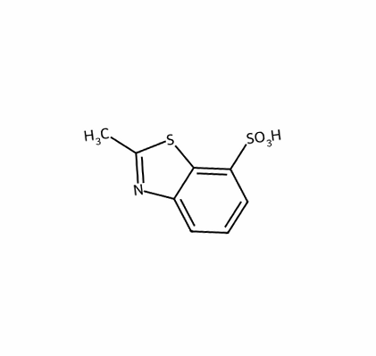 Cc1nc2cccc(S(=O)(=O)O)c2s1